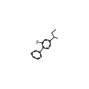 CCC(C)c1ccc(-c2ccccc2)c(F)c1